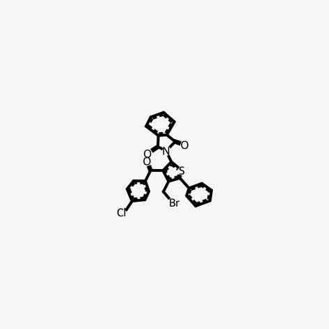 O=C(c1ccc(Cl)cc1)c1c(N2C(=O)c3ccccc3C2=O)sc(-c2ccccc2)c1CBr